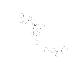 Cn1nc(C2CCC(=O)NC2=O)c2ccc(N3CCN(CCC[C@H]4CC[C@H](Oc5cccc(-c6ccc(N7CCc8cccc(C(=O)Nc9nc%10ccccc%10s9)c8C7)nc6C(=O)O)c5C(F)(F)F)CC4)CC3)cc21